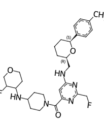 Cc1ccc([C@@H]2CCC[C@H](CNc3cc(C(=O)N4CCC(NC5CCOCC5F)CC4)nc(CF)n3)O2)cc1